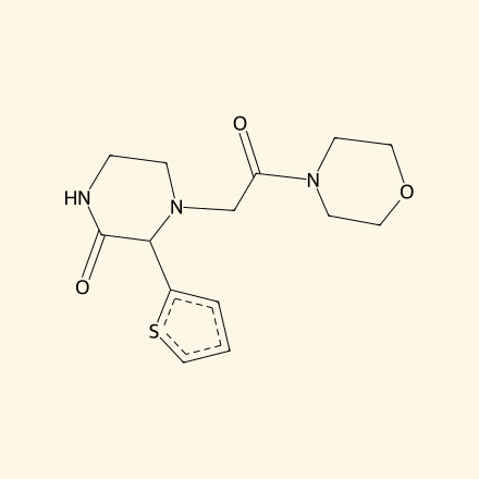 O=C1NCCN(CC(=O)N2CCOCC2)C1c1cccs1